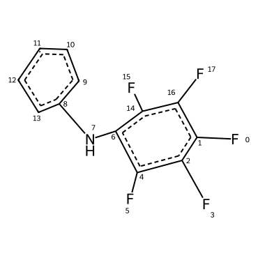 Fc1c(F)c(F)c(Nc2cc[c]cc2)c(F)c1F